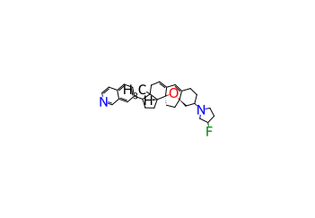 CC12CC=C3C=C4CCC(N5CCC(F)C5)C[C@]45CC[C@]3(O5)[C@@H]1CCC2c1ccc2ccncc2c1